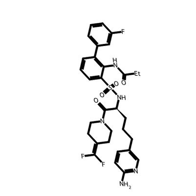 CCC(=O)Nc1c(-c2cccc(F)c2)cccc1S(=O)(=O)N[C@@H](CCCc1ccc(N)nc1)C(=O)N1CCC(=C(F)F)CC1